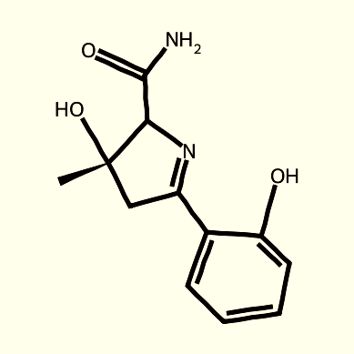 C[C@]1(O)CC(c2ccccc2O)=NC1C(N)=O